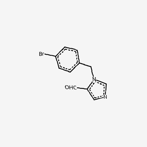 O=Cc1cncn1Cc1ccc(Br)cc1